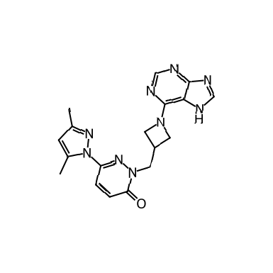 Cc1cc(C)n(-c2ccc(=O)n(CC3CN(c4ncnc5nc[nH]c45)C3)n2)n1